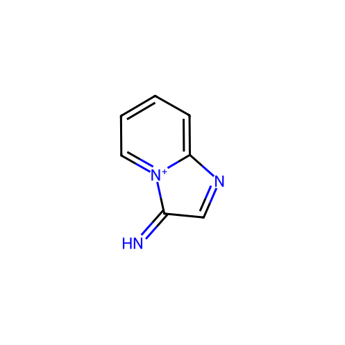 N=C1C=Nc2cccc[n+]21